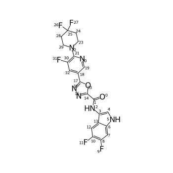 O=C(Nc1c[nH]c2cc(F)c(F)cc12)c1nnc(-c2cnc(N3CCC(F)(F)CC3)c(F)c2)o1